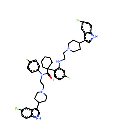 O=C(N(CCN1CCC(c2c[nH]c3ccc(F)cc23)CC1)c1ccc(F)cc1)C1(c2ccc(F)cc2NCCN2CCC(c3c[nH]c4ccc(F)cc34)CC2)CCCCC1